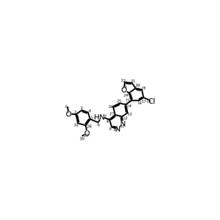 COc1ccc(CNc2cnnc3cc(-c4cc(Cl)cc5ccoc45)ccc23)c(OC)c1